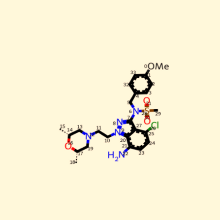 COc1ccc(CN(c2nn(CCN3C[C@@H](C)O[C@@H](C)C3)c3c(N)ccc(Cl)c23)S(C)(=O)=O)cc1